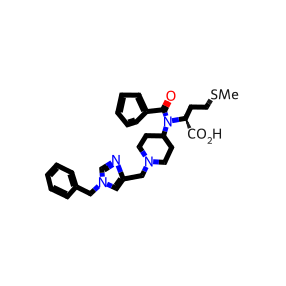 CSCC[C@@H](C(=O)O)N(C(=O)c1ccccc1)C1CCN(Cc2cn(Cc3ccccc3)cn2)CC1